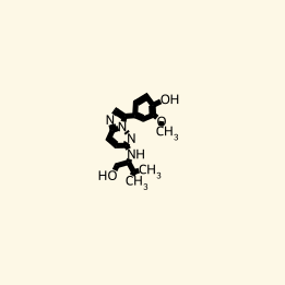 COc1cc(-c2cnc3ccc(NC(CO)C(C)C)nn23)ccc1O